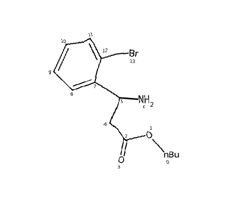 CCCCOC(=O)CC(N)c1ccccc1Br